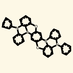 c1ccc(N2c3ccccc3B3c4cc5c(cc4Oc4cccc2c43)B2c3ccccc3N(c3ccccc3)c3cccc(c32)O5)cc1